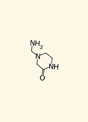 NCN1CCNC(=O)C1